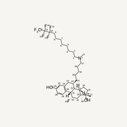 CN(CCCCCCCCC(F)(F)C(F)(F)C(F)(F)F)CCCCC[C@@H]1Cc2cc(O)ccc2[C@@H]2[C@@H]1[C@@H]1CC[C@](C)(O)[C@@]1(C)C[C@@H]2F